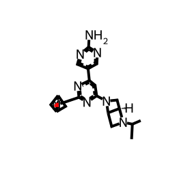 CC(C)N1CC2[C@H]1CN2c1cc(-c2cnc(N)nc2)nc(N2CC3CC2C3)n1